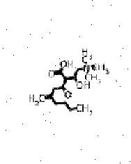 C=C(CCCC)CC(=O)C(C(=O)O)C(O)C[N+](C)(C)C